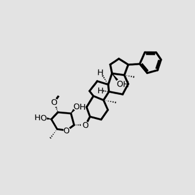 CO[C@@H]1[C@@H](O)[C@H](OC2CC[C@@]3(C)C(CC[C@@H]4[C@H]3CC[C@]3(C)C(c5ccccc5)CC[C@@]43O)C2)O[C@H](C)[C@H]1O